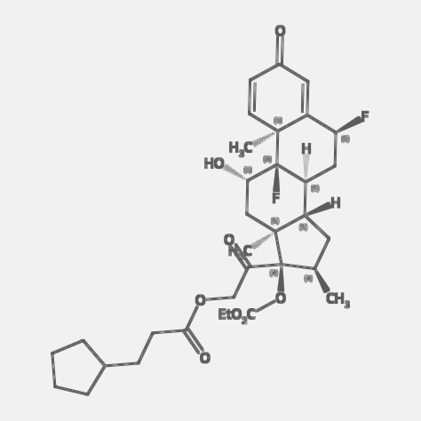 CCOC(=O)O[C@]1(C(=O)COC(=O)CCC2CCCC2)[C@H](C)C[C@H]2[C@@H]3C[C@H](F)C4=CC(=O)C=C[C@]4(C)[C@@]3(F)[C@@H](O)C[C@@]21C